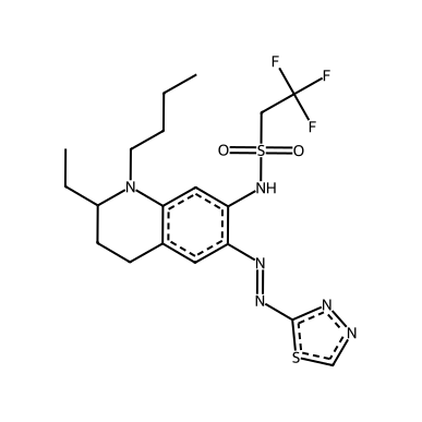 CCCCN1c2cc(NS(=O)(=O)CC(F)(F)F)c(N=Nc3nncs3)cc2CCC1CC